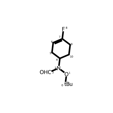 CC(C)(C)ON(C=O)C1CC=C(F)CC1